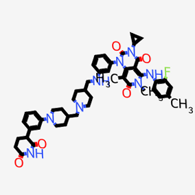 Cc1ccc(Nc2c3c(=O)n(C4CC4)c(=O)n(-c4cccc(NCC5CCN(CC6CCN(c7cccc(C8CCC(=O)NC8=O)c7)CC6)CC5)c4)c3c(C)c(=O)n2C)c(F)c1